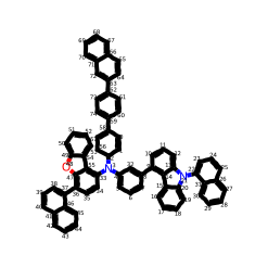 C1=CC(N(c2cccc(-c3cccc4c3c3ccccc3n4-c3cccc4ccccc34)c2)c2ccc(-c3cccc4ccccc34)c3oc4ccccc4c23)CC=C1c1ccc(-c2ccc3ccccc3c2)cc1